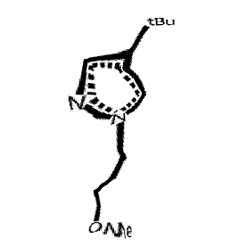 COCCn1cc(C(C)(C)C)cn1